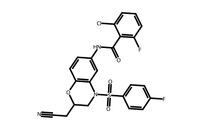 N#CCC1CN(S(=O)(=O)c2ccc(F)cc2)c2cc(NC(=O)c3c(F)cccc3Cl)ccc2O1